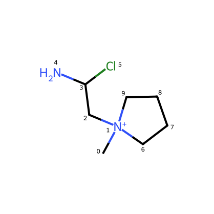 C[N+]1(CC(N)Cl)CCCC1